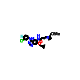 COC[C@H]1CCN1CC=CC(=O)Nc1cc2c(Nc3ccc(F)c(Cl)c3)ncnc2cc1OCC1CC1